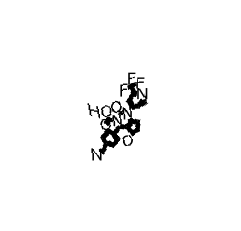 N#Cc1ccc(C2C3=C(CCC3=O)N(c3ccnc(C(F)(F)F)c3)C(=O)N2C(=O)O)cc1